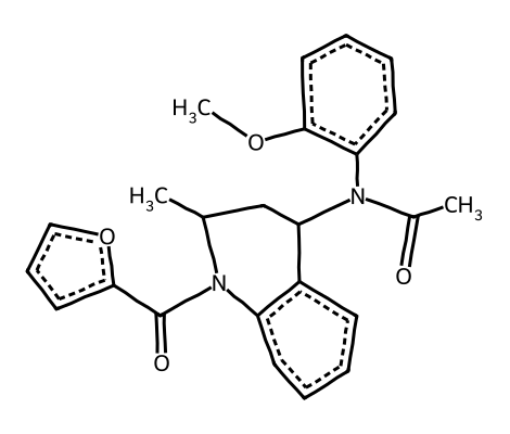 COc1ccccc1N(C(C)=O)C1CC(C)N(C(=O)c2ccco2)c2ccccc21